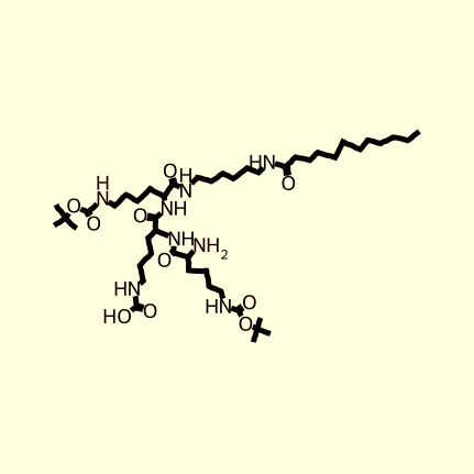 CCCCCCCCCCCC(=O)NCCCCCCNC(=O)C(CCCCNC(=O)OC(C)(C)C)NC(=O)C(CCCCNC(=O)O)NC(=O)C(N)CCCCNC(=O)OC(C)(C)C